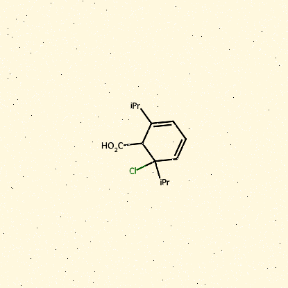 CC(C)C1=CC=CC(Cl)(C(C)C)C1C(=O)O